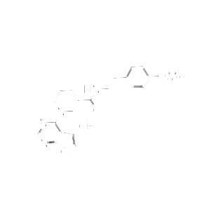 COc1ccc(CCNC(=O)C2CCCN(c3ncnc4occ(C)c34)C2)cc1